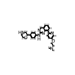 CN(C)CCOc1ccc(-c2cccc3cnc(Nc4ccc(C5CNCCO5)cc4)nc23)nc1